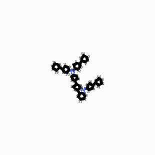 c1ccc(-c2ccc(N(c3ccc(-c4ccccc4)cc3)c3ccc(-c4ccc5c6ccccc6n(-c6ccc(-c7ccccc7)cc6)c5c4)cc3)cc2)cc1